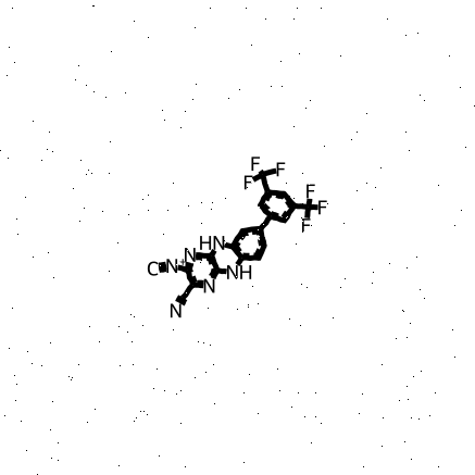 [C-]#[N+]c1nc2c(nc1C#N)Nc1ccc(-c3cc(C(F)(F)F)cc(C(F)(F)F)c3)cc1N2